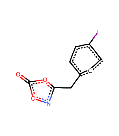 O=c1onc(Cc2ccc(I)cc2)o1